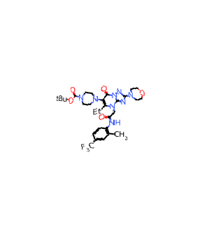 CCc1c(N2CCN(C(=O)OC(C)(C)C)CC2)c(=O)n2nc(N3CCOCC3)nc2n1CC(=O)Nc1ccc(C(F)(F)F)cc1C